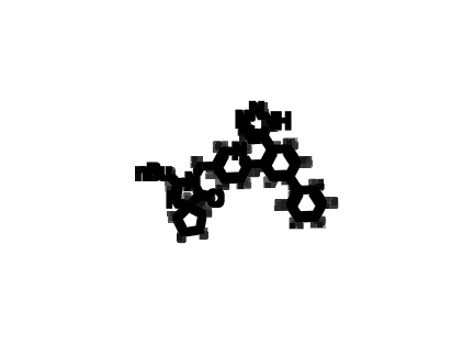 CCCCC1=NC2(CCCC2)C(=O)N1Cc1ccc(-c2cc(-c3ccccc3)ccc2-c2nnn[nH]2)nc1